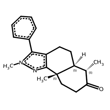 C[C@@H]1C(=O)CC[C@]2(C)c3nn(C)c(-c4ccccc4)c3CC[C@@H]12